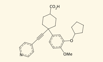 COc1ccc(C2(C#Cc3ccncc3)CCC(C(=O)O)CC2)cc1OC1CCCC1